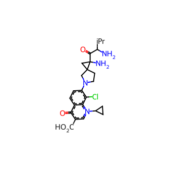 CC(C)C(N)C(=O)C1(N)CC12CCN(c1ccc3c(=O)c(C(=O)O)cn(C4CC4)c3c1Cl)C2